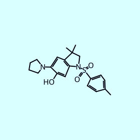 Cc1ccc(S(=O)(=O)N2CC(C)(C)c3cc(N4CCCC4)c(O)cc32)cc1